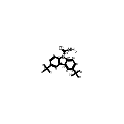 CC(C)(C)c1ccc2c(c1)c1cc(C(C)(C)C)ccc1n2C(N)=O